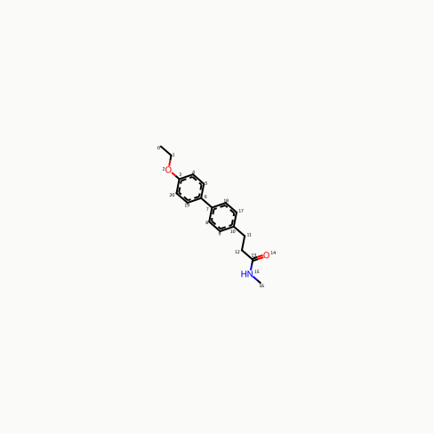 CCOc1ccc(-c2ccc(CCC(=O)NC)cc2)cc1